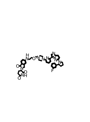 O=C1CCC(N2Cc3cc(NCCOCN4CCN(c5cccc(-c6cnc7ccc(N8CCCC8c8cccc(F)c8)nn67)n5)CC4)ccc3C2=O)C(=O)N1